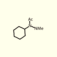 CNN(C(C)=O)C1CCCCC1